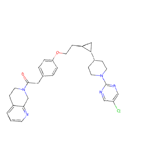 O=C(Cc1ccc(OCCC2CC2C2CCN(c3ncc(Cl)cn3)CC2)cc1)N1CCc2cccnc2C1